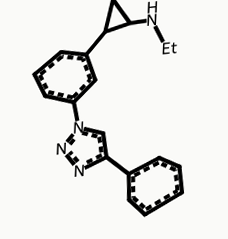 CCNC1CC1c1cccc(-n2cc(-c3ccccc3)nn2)c1